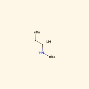 C[CH]CCNCCCCCC.[LiH]